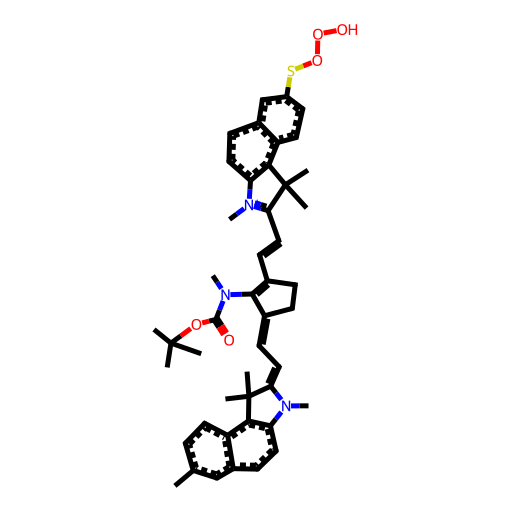 Cc1ccc2c3c(ccc2c1)N(C)/C(=C/C=C1\CCC(/C=C/C2=[N+](C)c4ccc5cc(SOOO)ccc5c4C2(C)C)=C1N(C)C(=O)OC(C)(C)C)C3(C)C